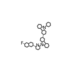 Fc1ccc2cc(-c3cccc(-n4c5ccccc5c5cc(-c6ccc7c(c6)c6ccccc6n7-c6ccccc6)ccc54)n3)ccc2c1